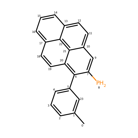 Cc1cccc(-c2c(P)cc3ccc4cccc5ccc2c3c45)c1